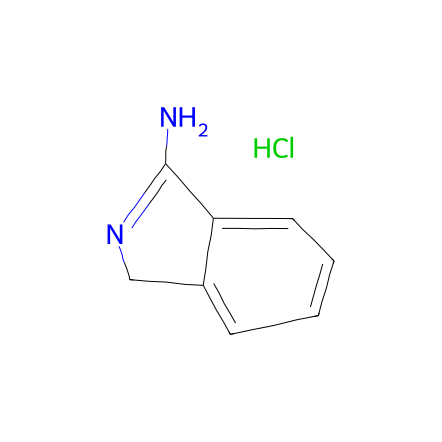 Cl.NC1=NCc2ccccc21